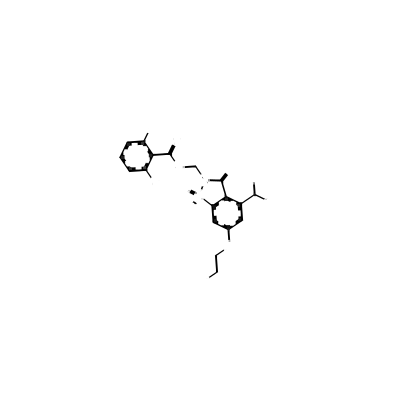 CC(C)c1cc(OCCO)cc2c1C(=O)N(COC(=O)c1c(Cl)cccc1Cl)S2(=O)=O